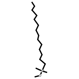 CCCCCCCCCCCCCC[N+](C)(C)OC